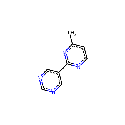 Cc1ccnc(-c2cncnc2)n1